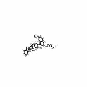 Cc1c(CC(=O)O)cc2ccc(Cl)cc2c1-c1ccc(S(=O)(=O)NCc2ccccc2)cc1